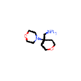 NCC1(N2CCOCC2)CCOCC1